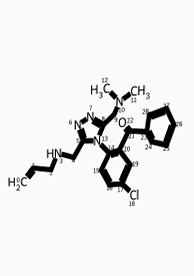 C=CCNCc1nnc(CN(C)C)n1-c1ccc(Cl)cc1C(=O)c1ccccc1